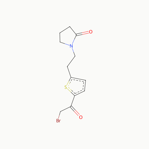 O=C(CBr)c1ccc(CCN2CCCC2=O)s1